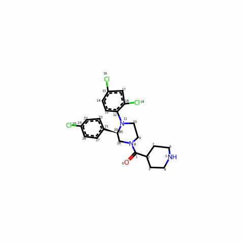 O=C(C1CCNCC1)N1CCN(c2ccc(Cl)cc2Cl)[C@H](c2ccc(Cl)cc2)C1